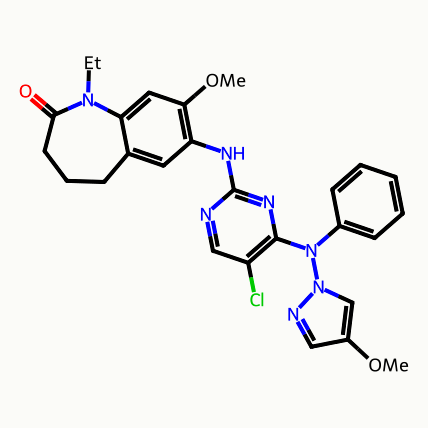 CCN1C(=O)CCCc2cc(Nc3ncc(Cl)c(N(c4ccccc4)n4cc(OC)cn4)n3)c(OC)cc21